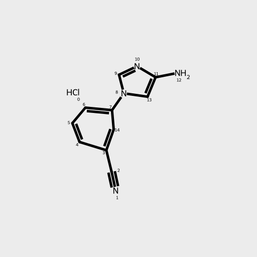 Cl.N#Cc1cccc(-n2cnc(N)c2)c1